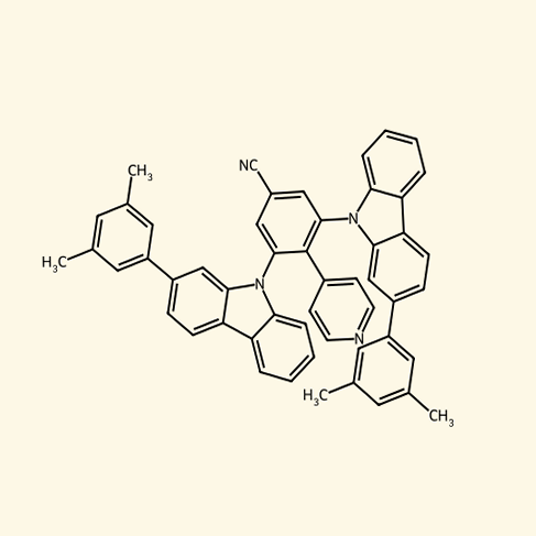 Cc1cc(C)cc(-c2ccc3c4ccccc4n(-c4cc(C#N)cc(-n5c6ccccc6c6ccc(-c7cc(C)cc(C)c7)cc65)c4-c4ccncc4)c3c2)c1